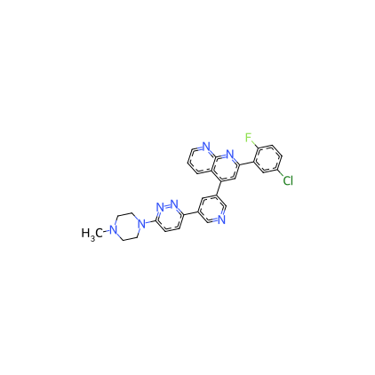 CN1CCN(c2ccc(-c3cncc(-c4cc(-c5cc(Cl)ccc5F)nc5ncccc45)c3)nn2)CC1